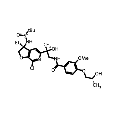 CC[C@]1(N[S+]([O-])C(C)(C)C)COc2c1cc([C@](O)(CNC(=O)c1ccc(OC[C@@H](C)O)c(OC)c1)C(F)(F)F)nc2Cl